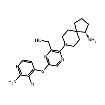 Nc1nccc(Sc2cnc(N3CCC4(CCC[C@H]4N)CC3)c(CO)n2)c1Cl